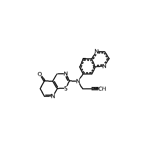 C#CCN(C1=NCC2=C(N=CCC2=O)S1)c1ccc2nccnc2c1